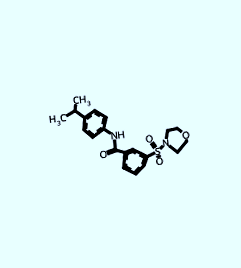 CC(C)c1ccc(NC(=O)c2cccc(S(=O)(=O)N3CCOCC3)c2)cc1